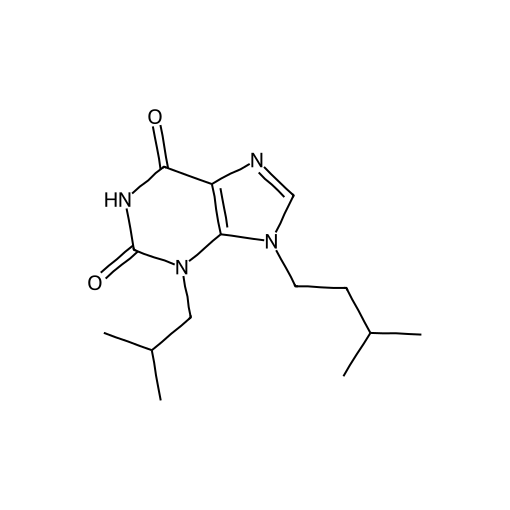 CC(C)CCn1cnc2c(=O)[nH]c(=O)n(CC(C)C)c21